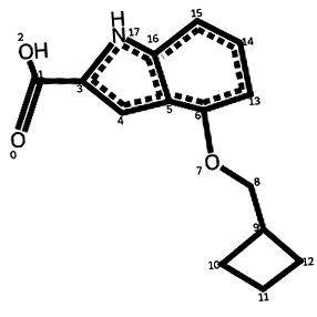 O=C(O)c1cc2c(OCC3CCC3)cccc2[nH]1